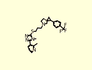 Cc1ncccc1-c1nnc(SCCCN2CC[C@]3(CC3c3ccc(C(F)(F)F)cc3)C2)n1C